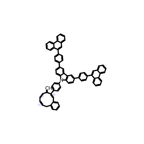 C=C1/C=C\C=C/Cc2ccccc2/C=C\1c1ccc(-n2c3ccc(-c4ccc(-c5cc6ccccc6c6ccccc56)cc4)cc3c3cc(-c4ccc(-c5cc6ccccc6c6ccccc56)cc4)ccc32)cc1